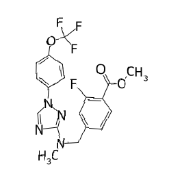 COC(=O)c1ccc(CN(C)c2ncn(-c3ccc(OC(F)(F)F)cc3)n2)cc1F